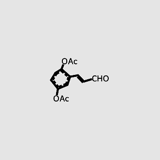 CC(=O)Oc1ccc(OC(C)=O)c(C=CC=O)c1